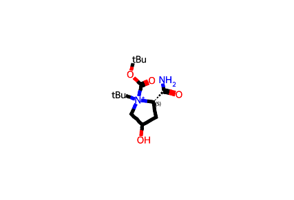 CC(C)(C)OC(=O)[N+]1(C(C)(C)C)CC(O)C[C@H]1C(N)=O